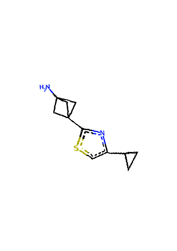 NC12CC(c3nc(C4CC4)cs3)(C1)C2